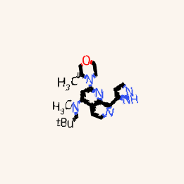 C[C@@H]1COCCN1c1cc(N(C)CC(C)(C)C)c2ccnc(-c3ccn[nH]3)c2n1